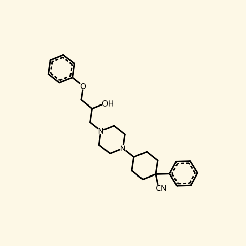 N#CC1(c2ccccc2)CCC(N2CCN(CC(O)COc3ccccc3)CC2)CC1